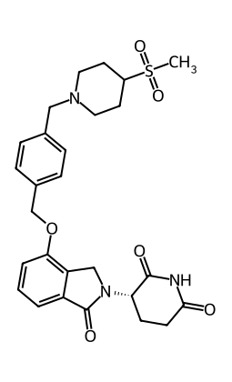 CS(=O)(=O)C1CCN(Cc2ccc(COc3cccc4c3CN([C@H]3CCC(=O)NC3=O)C4=O)cc2)CC1